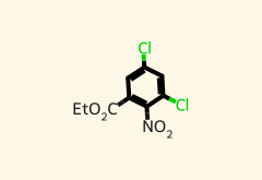 CCOC(=O)c1cc(Cl)cc(Cl)c1[N+](=O)[O-]